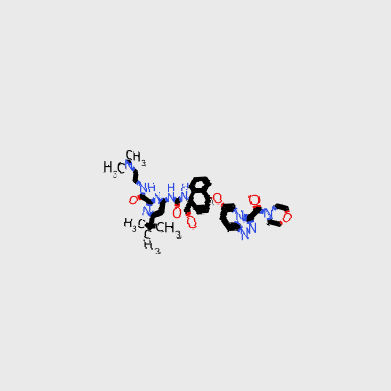 CN(C)CCNC(=O)c1nc(NC(=O)N[C@@]2(C=O)C=C[C@@H](Oc3ccc4nnc(C(=O)N5CCOCC5)n4c3)c3ccccc32)cc(C(C)(C)C)n1